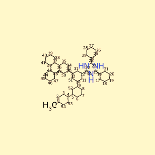 CC1CCC(C2CCCC(C3CC(C4NC(C5CCCCC5)NC(C5CCCCC5)N4)CC([C@@H]4CCC5C6CCCCC6C6CCCCC6C5C4)C3)C2)CC1